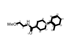 COCCNC(=O)C1CCN(C2=C(C)CCC=C2)CC1